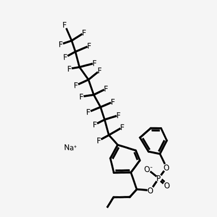 CCCC(OP(=O)([O-])Oc1ccccc1)c1ccc(C(F)(F)C(F)(F)C(F)(F)C(F)(F)C(F)(F)C(F)(F)C(F)(F)C(F)(F)F)cc1.[Na+]